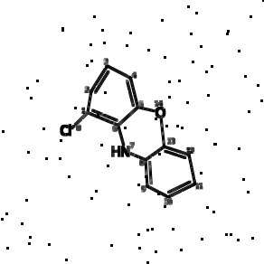 Clc1cccc2c1Nc1ccccc1O2